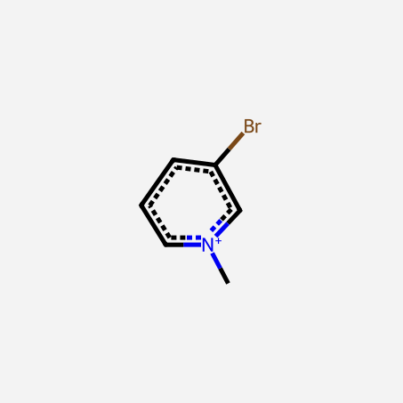 C[n+]1cccc(Br)c1